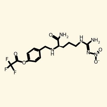 NC(=O)[C@@H](CCCNC(N)=N[N+](=O)[O-])NCc1ccc(OC(=O)C(F)(F)F)cc1